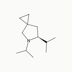 CC(C)[C@@H]1CC2(CC2)CN1C(C)C